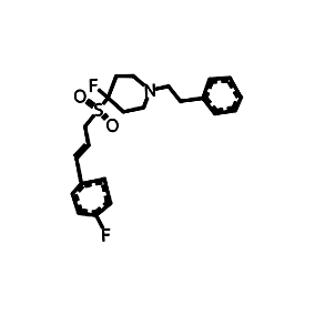 O=S(=O)(CC=Cc1ccc(F)cc1)C1(F)CCN(CCc2ccccc2)CC1